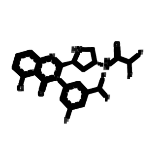 O=C(N[C@H]1CN[C@H](c2nc3cccc(Cl)c3c(=O)n2-c2cc(F)cc(C(F)F)c2)C1)C(F)F